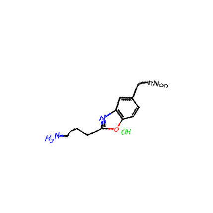 CCCCCCCCCCc1ccc2oc(CCCN)nc2c1.Cl